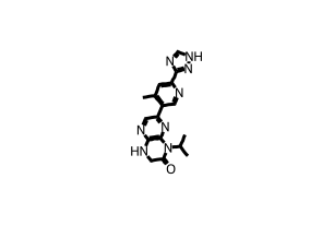 Cc1cc(-c2nc[nH]n2)ncc1-c1cnc2c(n1)N(C(C)C)C(=O)CN2